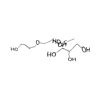 CC(=O)O.OCC(O)CO.OCCOCCO